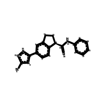 CCc1nc(-c2ccc3c(c2)CC[C@H]3C(=O)Nc2ccccc2)no1